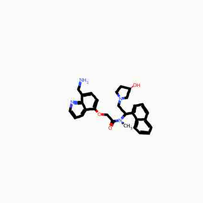 CN(C(=O)COc1ccc(CN)c2ncccc12)C(CN1CC[C@H](O)C1)c1cccc2ccccc12